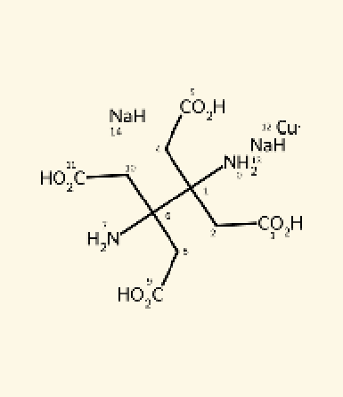 NC(CC(=O)O)(CC(=O)O)C(N)(CC(=O)O)CC(=O)O.[Cu].[NaH].[NaH]